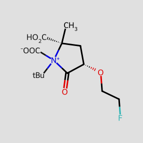 CC(C)(C)[N+]1(C(=O)[O-])C(=O)[C@@H](OCCF)C[C@@]1(C)C(=O)O